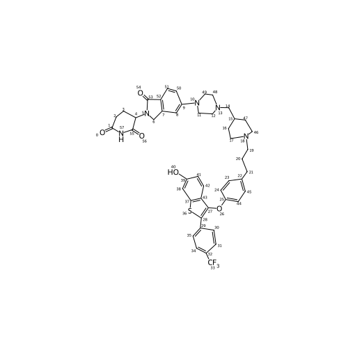 O=C1CCC(N2Cc3cc(N4CCN(CC5CCN(CCCc6ccc(Oc7c(-c8ccc(C(F)(F)F)cc8)sc8cc(O)ccc78)cc6)CC5)CC4)ccc3C2=O)C(=O)N1